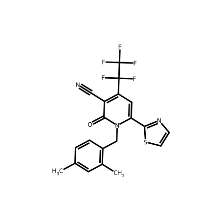 Cc1ccc(Cn2c(-c3nccs3)cc(C(F)(F)C(F)(F)F)c(C#N)c2=O)c(C)c1